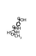 CC(=O)NC(CS)C(=O)Nc1ccc(C(=O)O)cc1